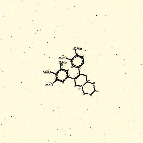 COc1ccc(C2=C(c3cc(OC)c(OC)c(OC)c3)CN3CCCCC3C2)cc1OC